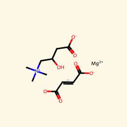 C[N+](C)(C)CC(O)CC(=O)[O-].O=C([O-])/C=C/C(=O)[O-].[Mg+2]